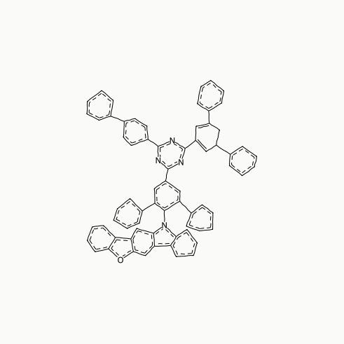 C1=C(c2ccccc2)CC(c2ccccc2)C=C1c1nc(-c2ccc(-c3ccccc3)cc2)nc(-c2cc(-c3ccccc3)c(-n3c4ccccc4c4cc5oc6ccccc6c5cc43)c(-c3ccccc3)c2)n1